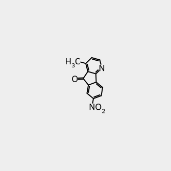 Cc1ccnc2c1C(=O)c1cc([N+](=O)[O-])ccc1-2